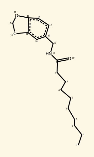 CCCCCCCCCC(=O)NCc1ccc2c(c1)OCO2